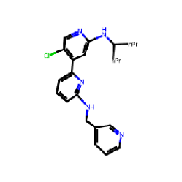 CCCC(CCC)Nc1cc(-c2cccc(NCc3cccnc3)n2)c(Cl)cn1